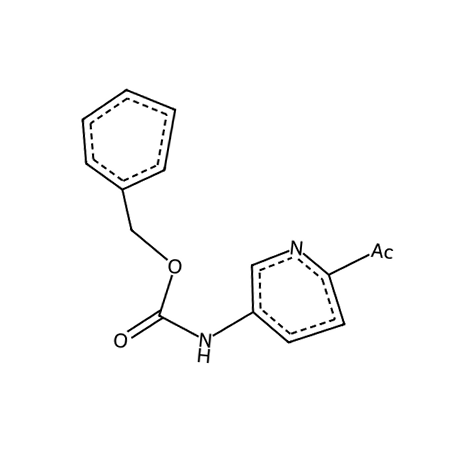 CC(=O)c1ccc(NC(=O)OCc2ccccc2)cn1